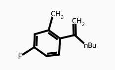 C=C(CCCC)c1ccc(F)cc1C